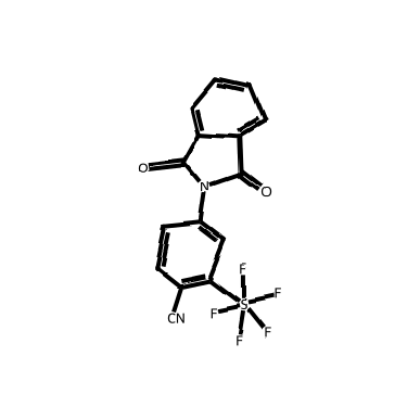 N#Cc1ccc(N2C(=O)c3ccccc3C2=O)cc1S(F)(F)(F)(F)F